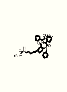 CCOC(=O)CC(c1ccccc1)N1C(=O)c2cc(C#CCCCNC(=O)OC(C)(C)C)ccc2N(Cc2ccccc2)C(=O)C1c1ccccc1